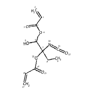 C=CC(=O)OC(O)C(CC)(N=C=O)OC(=O)C=C